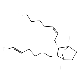 CC/C=C/CCSC[C@H]1[C@@H](C/C=C\CCCC(=O)O)[C@H]2CC[C@@H]1O2